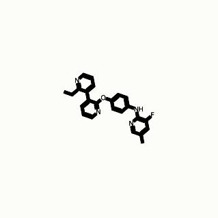 CCc1ncccc1-c1cccnc1Oc1ccc(Nc2ncc(C)cc2F)cc1